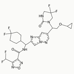 O=C(NC(c1cn2ncc(C(COC3CC3)N3CC(F)(F)CNC3=O)cc2n1)C1CCC(F)(F)CC1)c1nonc1C(F)F